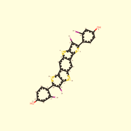 Oc1ccc(-c2sc3c(sc4cc5c(cc43)sc3c(I)c(-c4ccc(O)cc4I)sc35)c2I)c(I)c1